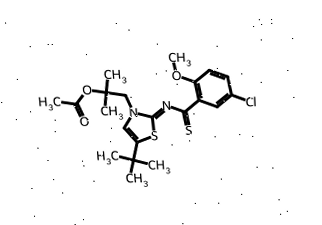 COc1ccc(Cl)cc1C(=S)/N=c1\sc(C(C)(C)C)cn1CC(C)(C)OC(C)=O